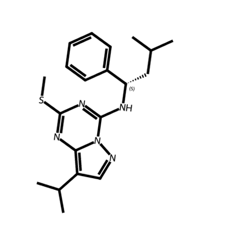 CSc1nc(N[C@@H](CC(C)C)c2ccccc2)n2ncc(C(C)C)c2n1